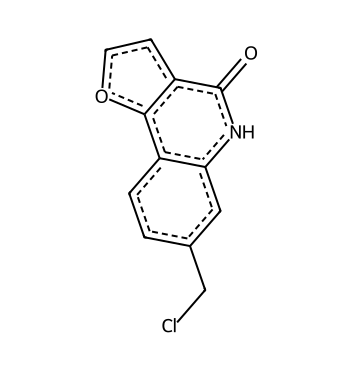 O=c1[nH]c2cc(CCl)ccc2c2occc12